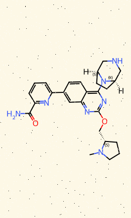 CN1CCC[C@H]1COc1nc(N2[C@@H]3CC[C@H]2CNC3)c2ccc(-c3cccc(C(N)=O)n3)cc2n1